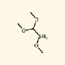 CO[SiH2]C(OC)OC